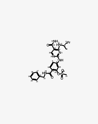 CC(C)[C@@H](C)Nc1nc(Nc2ccc(C(=O)NCc3ccccc3)c(OS(C)(=O)=O)c2)ncc1C(N)=O